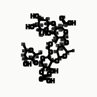 CC1O[C@H](O[C@@H]2C(OC=O)O[C@@H](O[C@@H]3C(C)O[C@H](C)C[C@H]3O)C(OS(=O)(=O)O)[C@H]2O)CC[C@@H]1O[C@@H]1O[C@@H](C(=O)O)[C@@H](O[C@@H]2C[C@@H](O)[C@H](O)[C@H](C)O2)[C@H](O)C1C